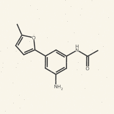 CC(=O)Nc1cc(N)cc(-c2ccc(C)o2)c1